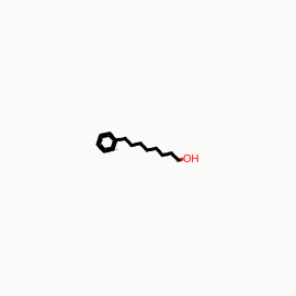 OCCCCCCCCc1[c]cccc1